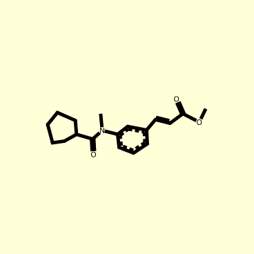 COC(=O)/C=C/c1cccc(N(C)C(=O)C2CCCCC2)c1